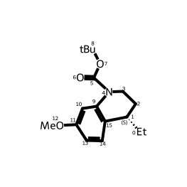 CC[C@H]1CCN(C(=O)OC(C)(C)C)c2cc(OC)ccc21